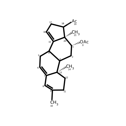 CC(=O)O[C@@H]1CC2C(CC=C3C=C(C)CC[C@@]32C)C2=CCC(C(C)=O)[C@]21C